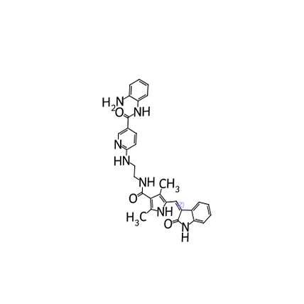 Cc1[nH]c(/C=C2\C(=O)Nc3ccccc32)c(C)c1C(=O)NCCNc1ccc(C(=O)Nc2ccccc2N)cn1